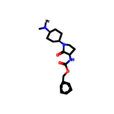 CC(C)N(C)[C@H]1CC[C@@H](N2CCC(NC(=O)OCc3ccccc3)C2=O)CC1